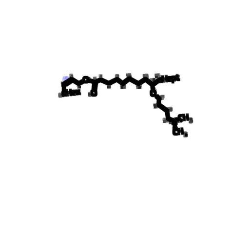 CCCCCC/C=C\COC(=O)CCCCCCCC(CCCCCCC)OCCCCN(C)C